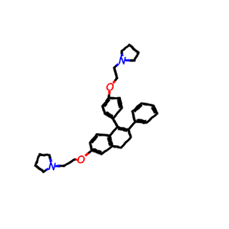 c1ccc(C2=C(c3ccc(OCCN4CCCC4)cc3)c3ccc(OCCN4CCCC4)cc3CC2)cc1